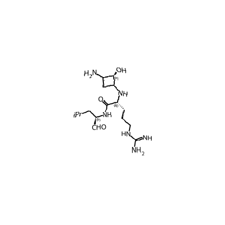 CC(C)C[C@H](C=O)NC(=O)[C@@H](CCCNC(=N)N)NC1CC(N)[C@H]1O